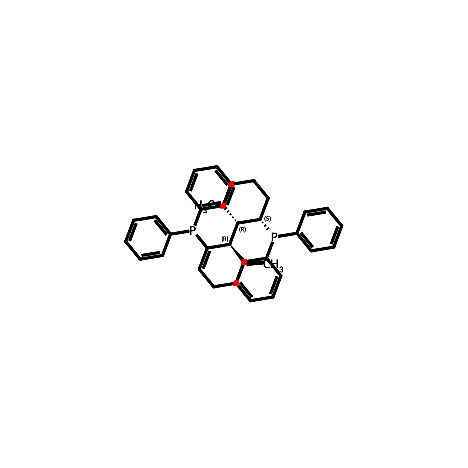 CC1=CCC[C@H](P(c2ccccc2)c2ccccc2)[C@@H]1[C@@H]1C(P(c2ccccc2)c2ccccc2)=CCCC1C